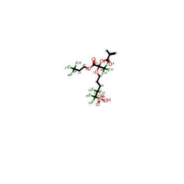 C=C(C)C(=O)OC(OCCCC(F)(F)C(F)(F)S(=O)(=O)O)(C(=O)OCCC(F)(F)F)C(F)(F)F